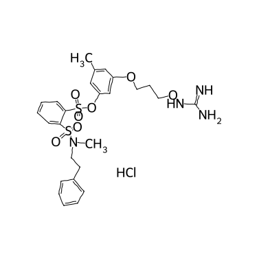 Cc1cc(OCCCONC(=N)N)cc(OS(=O)(=O)c2ccccc2S(=O)(=O)N(C)CCc2ccccc2)c1.Cl